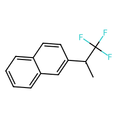 C[C](c1ccc2ccccc2c1)C(F)(F)F